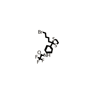 O=C(Nc1ccc(C2(CCCCBr)SCCS2)cc1)C(F)(F)F